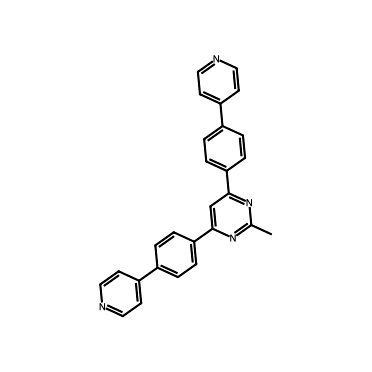 Cc1nc(-c2ccc(-c3ccncc3)cc2)cc(-c2ccc(-c3ccncc3)cc2)n1